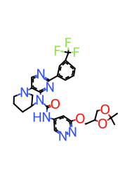 CC1(C)OCC(COc2cc(NC(=O)N3c4nc(-c5cccc(C(F)(F)F)c5)ncc4N4CCCC3C4)cnn2)O1